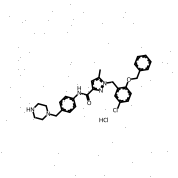 Cc1cc(C(=O)Nc2ccc(CN3CCNCC3)cc2)nn1Cc1cc(Cl)ccc1OCc1ccccc1.Cl